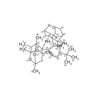 CC1C2(C)OC3(C)CC(C)(O2)C(P)(c2ccc(C(C)(C)C)cc2C24CC5CC(CC(C5)C2(C)P)C4)C1(C)O3